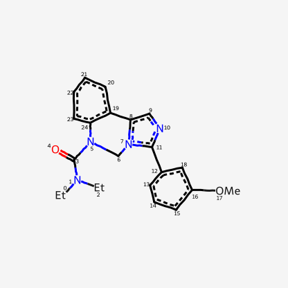 CCN(CC)C(=O)N1Cn2c(cnc2-c2cccc(OC)c2)-c2ccccc21